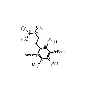 CCCCCc1c(OC)c(OC)c(OC)c(CCC(C)N(C)C)c1C(=O)O